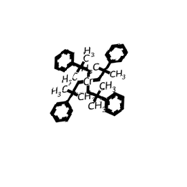 CC(C)([CH2][Cr]([CH2]C(C)(C)c1ccccc1)([CH2]C(C)(C)c1ccccc1)[CH2]C(C)(C)c1ccccc1)c1ccccc1